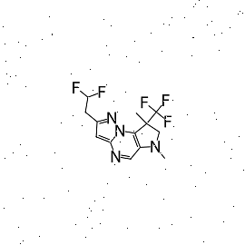 CN1CC(C)(C(F)(F)F)c2c1cnc1cc(CC(F)F)nn21